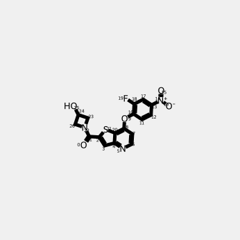 O=C(c1cc2nccc(Oc3ccc([N+](=O)[O-])cc3F)c2s1)N1CC(O)C1